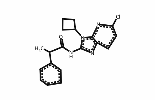 CC(C(=O)Nc1nc2ccc(Cl)nc2n1C1CCC1)c1ccccc1